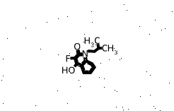 CC(C)CCn1c(=O)c(F)c(O)c2ccccc21